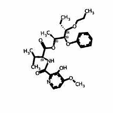 CCCO[C@@H](CC)[C@@H](Oc1ccccc1)[C@H](C)OC(=O)[C@@H](NC(=O)c1nccc(OC)c1O)C(C)C